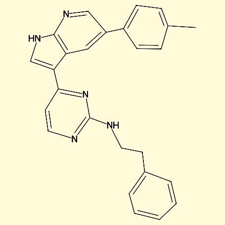 Cc1ccc(-c2cnc3[nH]cc(-c4ccnc(NCCc5ccccc5)n4)c3c2)cc1